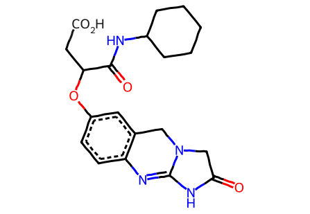 O=C(O)CC(Oc1ccc2c(c1)CN1CC(=O)NC1=N2)C(=O)NC1CCCCC1